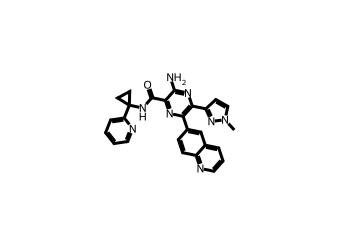 Cn1ccc(-c2nc(N)c(C(=O)NC3(c4ccccn4)CC3)nc2-c2ccc3ncccc3c2)n1